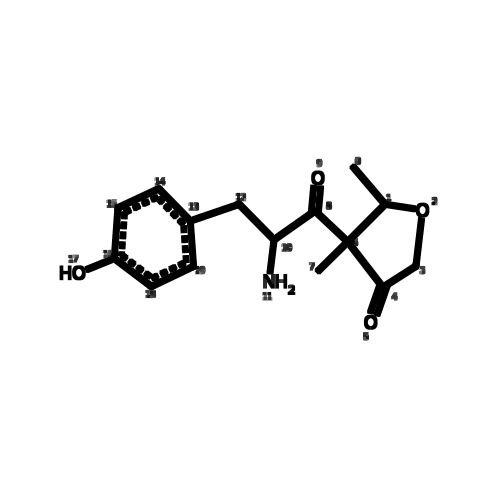 CC1OCC(=O)C1(C)C(=O)C(N)Cc1ccc(O)cc1